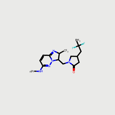 BC(F)(F)CC1CC(=O)N(CC2C(C(F)(F)F)N=C3C=CC(NCCC)=NN32)C1